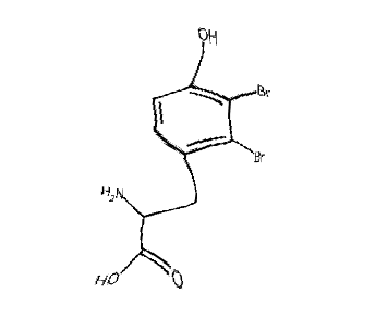 NC(Cc1ccc(O)c(Br)c1Br)C(=O)O